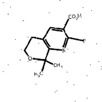 CC1(C)OCCc2cc(C(=O)O)c(F)nc21